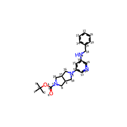 CC(C)(C)OC(=O)N1CC2CN(c3cncc(NCc4ccccc4)c3)CC2C1